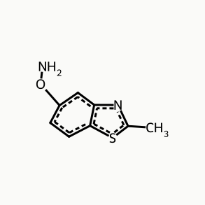 Cc1nc2cc(ON)ccc2s1